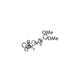 COc1cc(OC)cc(-c2csc(N3CCC(S(=O)(=O)C4C=CC=CC4(C)Cl)CC3)n2)c1